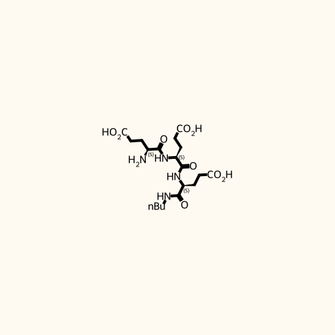 CCCCNC(=O)[C@H](CCC(=O)O)NC(=O)[C@H](CCC(=O)O)NC(=O)[C@@H](N)CCC(=O)O